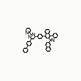 c1ccc(-c2ccc(-c3cc(-c4ccc(-c5cc6c(-c7ccc8ccccc8c7)nc7ccccc7c6c6ccccc56)cc4)nc(-c4ccccn4)n3)cc2)cc1